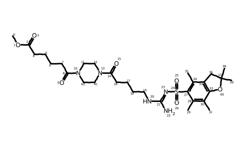 COC(=O)CCCCC(=O)N1CCN(C(=O)CCCCN/C(N)=N/S(=O)(=O)c2c(C)c(C)c3c(c2C)CC(C)(C)O3)CC1